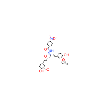 COc1cc(/C=C/C(CC(=O)/C=C/c2ccc(O)c(C=O)c2)=N\NC(=O)c2ccc([N+](=O)[O-])cc2)ccc1O